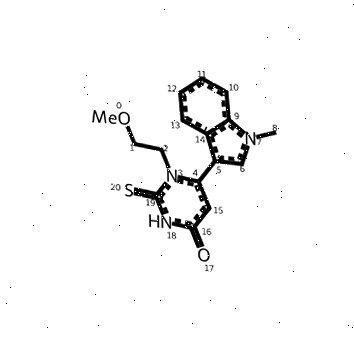 COCCn1c(-c2cn(C)c3ccccc23)cc(=O)[nH]c1=S